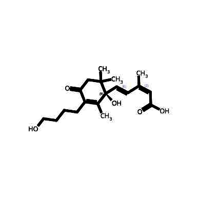 CC1=C(CCCCO)C(=O)CC(C)(C)[C@]1(O)/C=C/C(C)=C\C(=O)O